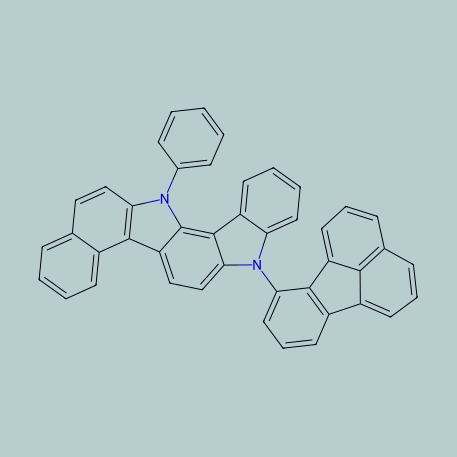 c1ccc(-n2c3ccc4ccccc4c3c3ccc4c(c5ccccc5n4-c4cccc5c4-c4cccc6cccc-5c46)c32)cc1